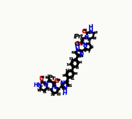 CC(C)[C@@H](C(=O)N1CCC[C@H]1c1nc(-c2ccc(-c3ccc(-c4c[nH]c([C@@H]5CCCN5C(=O)[C@H](C(C)C)N5CCCNC5=O)n4)cc3)cc2)c[nH]1)N1CCCNC1=O